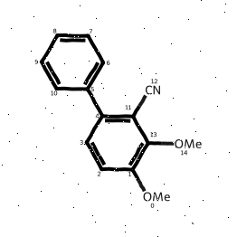 COc1ccc(-c2ccccc2)c(C#N)c1OC